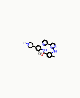 CCN1CCC(c2ccc(NC(=O)c3ccc(C)c(Nc4nccc(-c5cccnc5)n4)c3)c(C(F)(F)F)c2)CC1